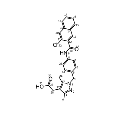 Cc1nn(Cc2ccc(NC(=O)c3cc4ccccc4cc3Cl)cc2)c(C)c1CC(=O)O